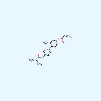 C=CC(=O)Sc1ccc(-c2ccc(SC(=O)C(=C)C)cc2)c(C)c1